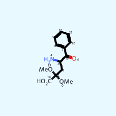 COC(CC(N)C(=O)c1ccccc1)(OC)C(=O)O